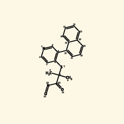 CC(C)(Sc1ccncc1-c1cccc2ccccc12)C(=O)N=O